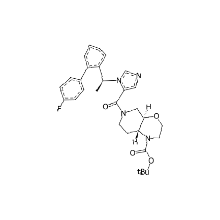 C[C@@H](c1ccccc1-c1ccc(F)cc1)n1cncc1C(=O)N1CC[C@@H]2[C@@H](C1)OCCN2C(=O)OC(C)(C)C